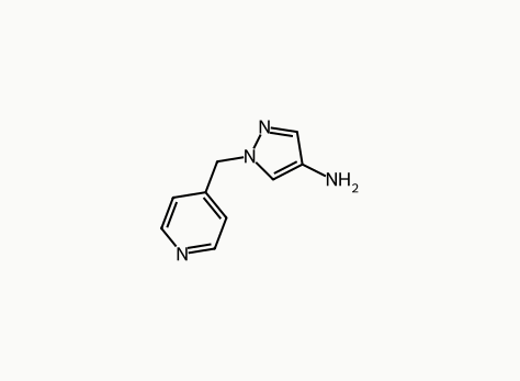 Nc1cnn(Cc2ccncc2)c1